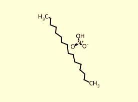 CCCCCCCCCCCCCCCC.O=[N+]([O-])O